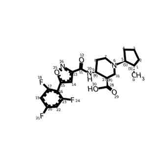 C[C@H]1CCC[C@@H]1N1CC[C@@H](NC(=O)c2cc(-c3c(F)cc(F)cc3F)on2)[C@H](C(=O)O)C1